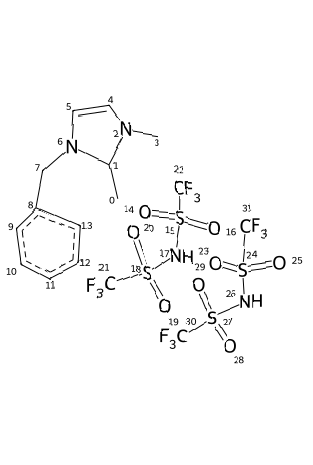 CC1N(C)C=CN1Cc1ccccc1.O=S(=O)(NS(=O)(=O)C(F)(F)F)C(F)(F)F.O=S(=O)(NS(=O)(=O)C(F)(F)F)C(F)(F)F